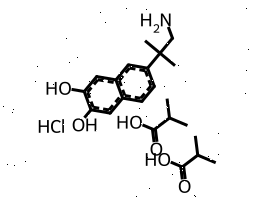 CC(C)(CN)c1ccc2cc(O)c(O)cc2c1.CC(C)C(=O)O.CC(C)C(=O)O.Cl